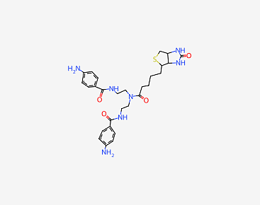 Nc1ccc(C(=O)NCCN(CCNC(=O)c2ccc(N)cc2)C(=O)CCCCC2SCC3NC(=O)NC32)cc1